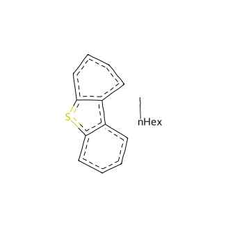 CCCCCCC.c1ccc2c(c1)sc1ccccc12